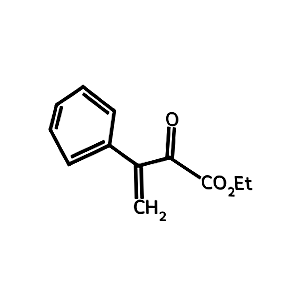 C=C(C(=O)C(=O)OCC)c1ccccc1